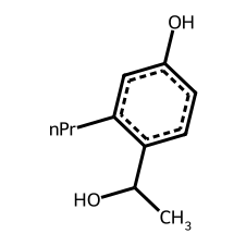 CCCc1cc(O)ccc1C(C)O